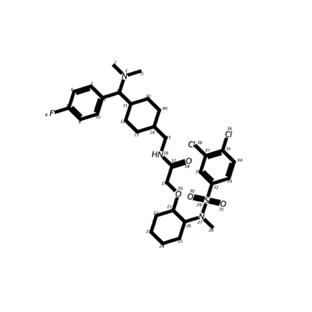 CN(C)C(c1ccc(F)cc1)C1CCC(CNC(=O)COC2CCCCC2N(C)S(=O)(=O)c2ccc(Cl)c(Cl)c2)CC1